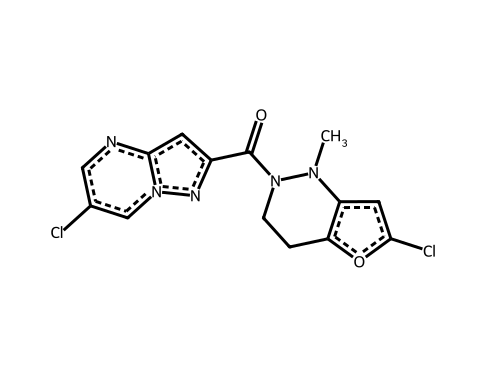 CN1c2cc(Cl)oc2CCN1C(=O)c1cc2ncc(Cl)cn2n1